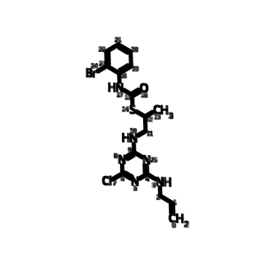 C=CCNc1nc(Cl)nc(NCC(C)SC(=O)Nc2ccccc2Br)n1